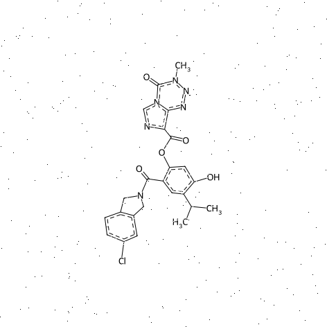 CC(C)c1cc(C(=O)N2Cc3ccc(Cl)cc3C2)c(OC(=O)c2ncn3c(=O)n(C)nnc23)cc1O